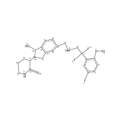 CCOc1ccc(F)cc1C(F)(F)CNCc1ccc2c(c1)CN(C1CCCNC1=O)C2O